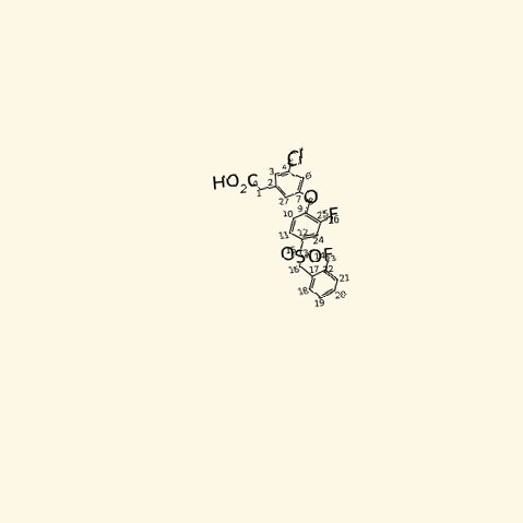 O=C(O)Cc1cc(Cl)cc(Oc2ccc(S(=O)(=O)Cc3ccccc3F)cc2F)c1